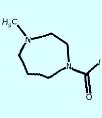 CN1CCCN(C(=O)I)CC1